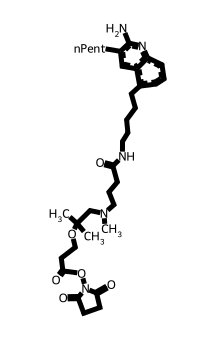 CCCCCc1cc2c(CCCCCNC(=O)CCCN(C)CC(C)(C)OCCC(=O)ON3C(=O)CCC3=O)cccc2nc1N